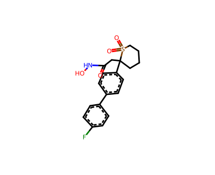 O=C(CC1(c2ccc(-c3ccc(F)cc3)cc2)CCCCS1(=O)=O)NO